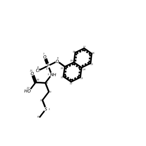 CSCCC(NP(=O)(Cl)Oc1cccc2ccccc12)C(=O)O